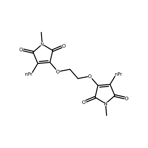 CCCC1=C(OCCOC2=C(CCC)C(=O)N(C)C2=O)C(=O)N(C)C1=O